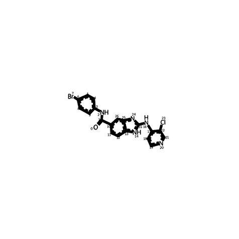 O=C(Nc1ccc(Br)cc1)c1ccc2[nH]c(Nc3ccncc3Cl)nc2c1